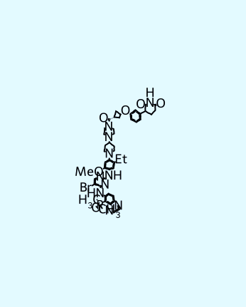 CCc1cc(Nc2ncc(Br)c(Nc3ccc4nccnc4c3P(C)(C)=O)n2)c(OC)cc1N1CCC(N2CCN(C(=O)[C@H]3C[C@H](Oc4cccc(C5CCC(=O)NC5=O)c4)C3)CC2)CC1